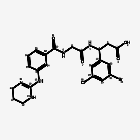 O=C(O)CC(NC(=O)CNC(=O)c1cccc(NC2=NCCCN2)c1)c1cc(Cl)cc(Br)c1